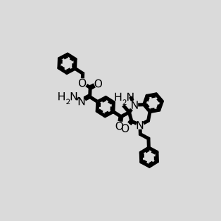 CC1(C(=O)c2ccc(C(=NN)C(=O)OCc3ccccc3)cc2)C(=O)N(CCc2ccccc2)Cc2ccccc2N1N